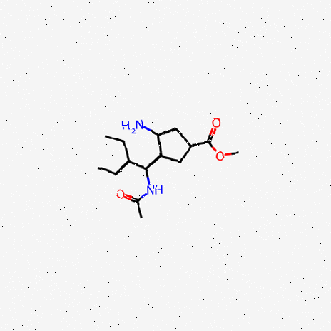 CCC(CC)C(NC(C)=O)C1CC(C(=O)OC)CC1N